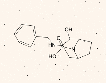 O=C(O)N1C2CCC1C(O)C(NCc1ccccc1)C2